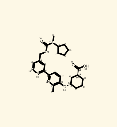 Cc1nc(-c2cc(COC(=O)N(C)C3CCCC3)cnn2)ccc1O[C@H]1CCC[C@H](C(=O)O)C1